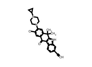 C#Cc1ccc2c3c([nH]c2c1)C(C)(C)c1cc(N2CCN(C4CC4)CC2)c(Cl)cc1C3=O